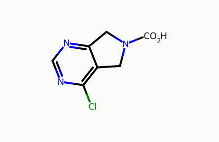 O=C(O)N1Cc2ncnc(Cl)c2C1